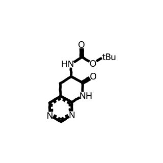 CC(C)(C)OC(=O)NC1Cc2cncnc2NC1=O